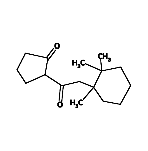 CC1(C)CCCCC1(C)CC(=O)C1CCCC1=O